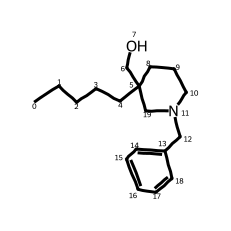 CCCCCC1(CO)CCCN(Cc2ccccc2)C1